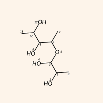 CC(O)C(O)OC(C)C(O)C(C)O